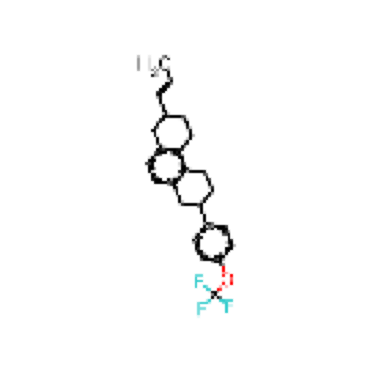 CC=CC1CCc2c(ccc3c2CCC(c2ccc(OC(F)(F)F)cc2)C3)C1